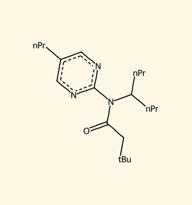 CCCc1cnc(N(C(=O)CC(C)(C)C)C(CCC)CCC)nc1